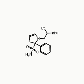 CCCCC(CC)CN1C=CSC1(c1ccccc1)S(N)(=O)=O